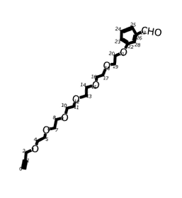 C#CCOCCOCCOCCOCCOCCOCCOc1cccc(C=O)c1